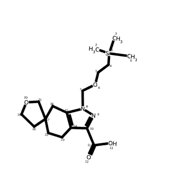 C[Si](C)(C)CCOCn1nc(C(=O)O)c2c1CC1(CCOC1)CC2